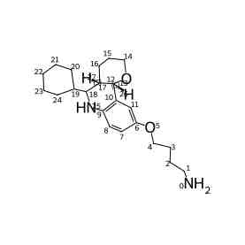 NCCCCOc1ccc2c(c1)[C@H]1OCCC[C@H]1C(C1CCCCC1)N2